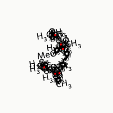 COc1ccc(C2S[C@]3(COC(=O)[C@@]45CC[C@@](C)(C(=O)O4)C5(C)C)C(=O)N(C)[C@](Cc4ccc(CCc5ccc(C[C@]67SC(c8ccc(C)cc8)S[C@](COC(=O)[C@@]89CC[C@@](C)(C(=O)O8)C9(C)C)(C(=O)N6C)N(C)C7=O)cc5)cc4)(S2)C(=O)N3C)cc1